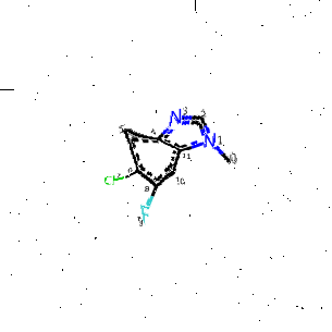 Cn1cnc2cc(Cl)c(F)cc21